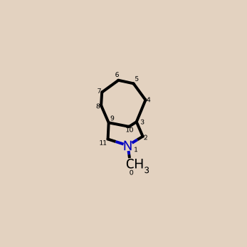 CN1CC2CCCCCC(C2)C1